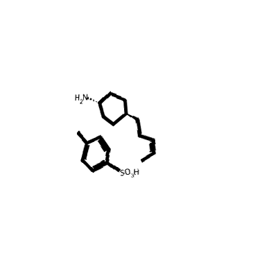 C/C=C\CC[C@H]1CC[C@H](N)CC1.Cc1ccc(S(=O)(=O)O)cc1